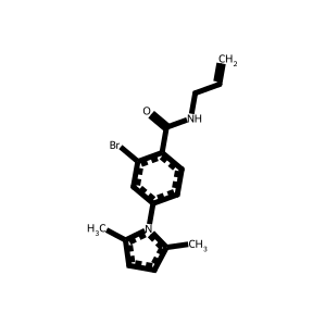 C=CCNC(=O)c1ccc(-n2c(C)ccc2C)cc1Br